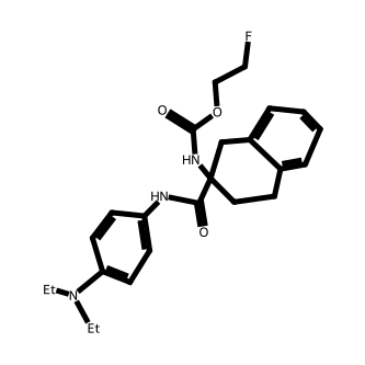 CCN(CC)c1ccc(NC(=O)C2(NC(=O)OCCF)CCc3ccccc3C2)cc1